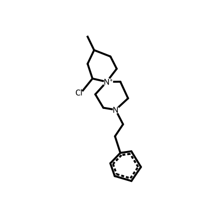 CC1CC[N+]2(CCN(CCc3ccccc3)CC2)C(Cl)C1